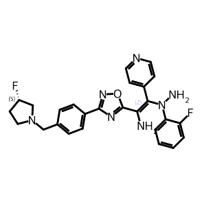 N/C(=C(/c1ccncc1)N(N)c1ccccc1F)c1nc(-c2ccc(CN3CC[C@H](F)C3)cc2)no1